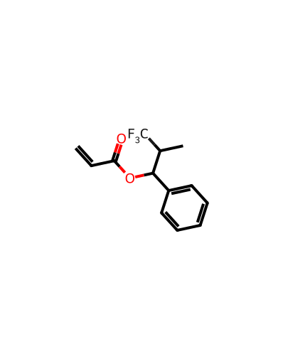 C=CC(=O)OC(c1ccccc1)C(C)C(F)(F)F